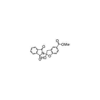 COC(=O)c1ccc2c(c1)CC(O)(N1C(=O)c3ccccc3C1=O)O2